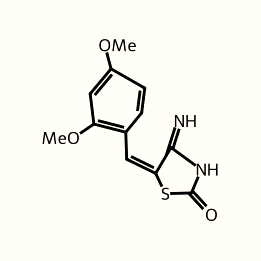 COc1ccc(C=C2SC(=O)NC2=N)c(OC)c1